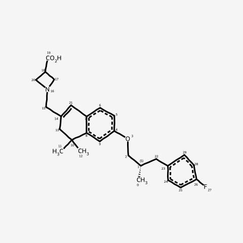 C[C@H](COc1ccc2c(c1)C(C)(C)CC(CN1CC(C(=O)O)C1)=C2)Cc1ccc(F)cc1